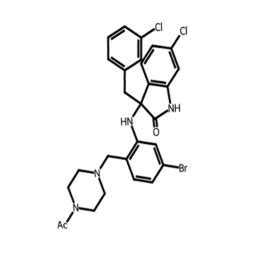 CC(=O)N1CCN(Cc2ccc(Br)cc2NC2(Cc3cccc(Cl)c3)C(=O)Nc3cc(Cl)ccc32)CC1